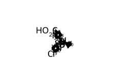 O=C(O)c1ccc(-c2nc(C3CCC3)oc2Sc2ccc(Cl)cn2)cn1